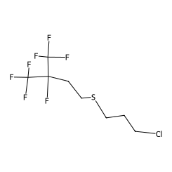 FC(F)(F)C(F)(CCSCCCCl)C(F)(F)F